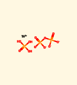 O=P(O)(O)O.O=P([O-])([O-])OP(=O)([O-])[O-].[Th+4]